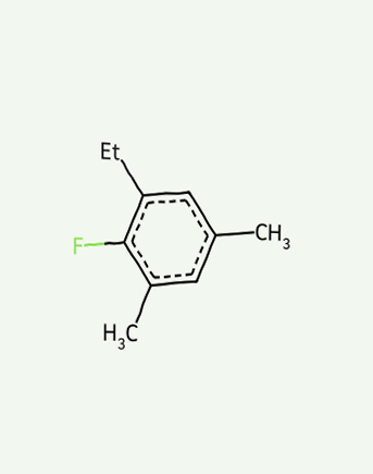 CCc1cc(C)cc(C)c1F